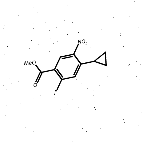 COC(=O)c1cc([N+](=O)[O-])c(C2CC2)cc1F